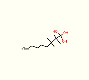 CCCCCCCCCCCCCC(C)(C)C(C)(C)C(O)(O)O